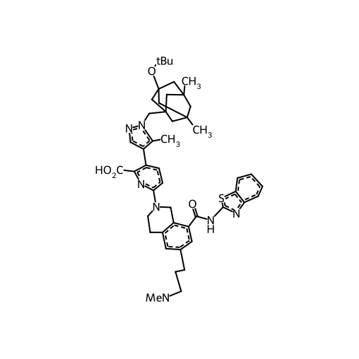 CNCCCc1cc2c(c(C(=O)Nc3nc4ccccc4s3)c1)CN(c1ccc(-c3cnn(CC45CC6(C)CC(C)(C4)CC(OC(C)(C)C)(C6)C5)c3C)c(C(=O)O)n1)CC2